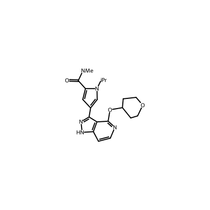 CNC(=O)c1cc(-c2n[nH]c3ccnc(OC4CCOCC4)c23)cn1C(C)C